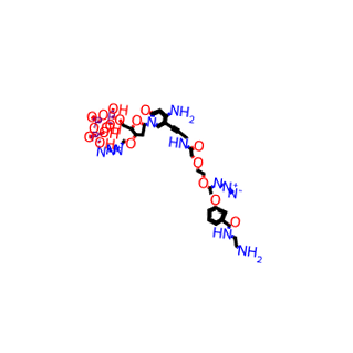 [N-]=[N+]=NCOC1CC(n2cc(C#CCNC(=O)COCCOC(COc3cccc(C(=O)NCCN)c3)N=[N+]=[N-])c(N)cc2=O)OC1COP(=O)(O)OP(=O)(O)OP(=O)(O)O